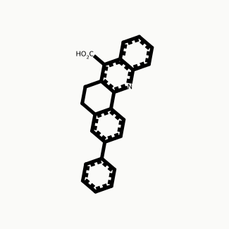 O=C(O)c1c2c(nc3ccccc13)-c1ccc(-c3ccccc3)cc1CC2